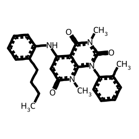 CCCCc1ccccc1Nc1cc(=O)n(C)c2c1c(=O)n(C)c(=O)n2-c1ccccc1C